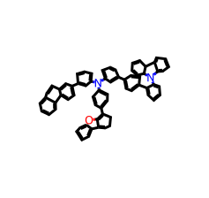 C1=CC2c3ccccc3N(c3ccccc3-c3ccc(-c4cccc(N(c5ccc(C6=c7oc8ccccc8c7=CCC6)cc5)c5cccc(-c6ccc7c(ccc8ccccc87)c6)c5)c4)cc3)C2C=C1